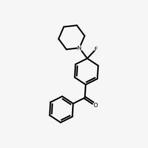 O=C(C1=CCC(F)(N2CCCCC2)C=C1)c1ccccc1